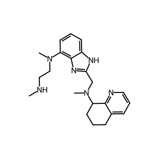 CNCCN(C)c1cccc2[nH]c(CN(C)C3CCCc4cccnc43)nc12